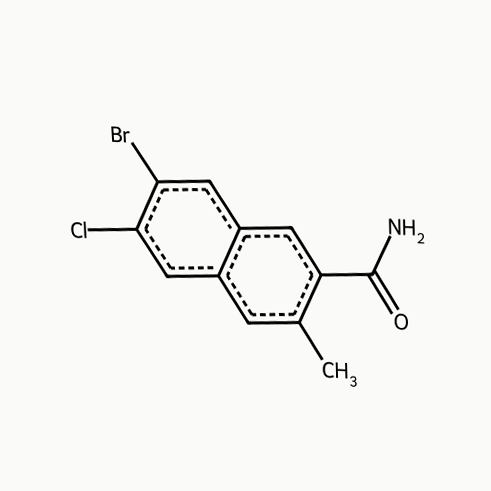 Cc1cc2cc(Cl)c(Br)cc2cc1C(N)=O